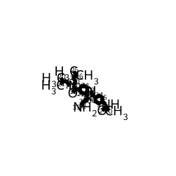 CC(=O)Nc1ccc(-c2nc3ccc(C(=O)N(CCC(C)C)CCC(C)C)cc3n2CCCN)cc1